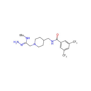 CC(C)(C)N/C(CN1CCC(CNC(=O)c2cc(C(F)(F)F)cc(C(F)(F)F)c2)CC1)=N\N